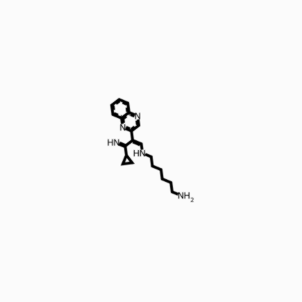 N=C(/C(=C\NCCCCCCN)c1cnc2ccccc2n1)C1CC1